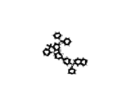 CC1(C)c2ccccc2-n2c3ccc(-c4ccc(N(c5ccccc5)c5ccc6ccccc6c5)cc4)cc3c3cc(N(c4ccccc4)c4ccccc4)cc1c32